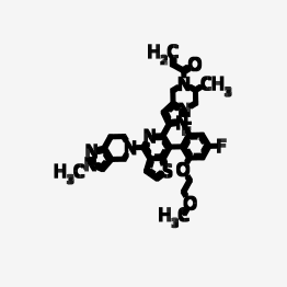 C=CC(=O)N1Cc2cc(-c3nc(N4CCc5nn(C)cc5C4)c4ccsc4c3-c3c(F)cc(F)cc3OCCOC)nn2CC1C